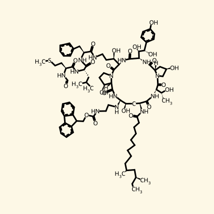 CC[C@H](C)C[C@H](C)CCCCCCCCC(=O)N[C@H]1C[C@@H](O)[C@@H](NCCNC(=O)OCC2c3ccccc3-c3ccccc32)NC(=O)[C@@H]2[C@@H](O)CCN2C(=O)[C@H]([C@H](O)CCNC(=O)[C@H](Cc2ccccc2)NC(=O)[C@H](CC(C)C)NC(=O)[C@H](CCSC)NC=O)NC(=O)[C@H]([C@H](O)[C@@H](O)c2ccc(O)cc2)NC(=O)[C@@H]2C[C@@H](O)CN2C(=O)[C@H]([C@@H](C)O)NC1=O